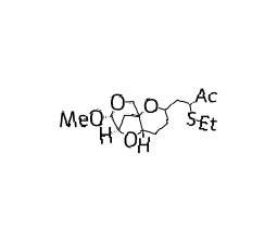 CCSC(CC1CC[C@@H]2O[C@@H]3CC2(CO[C@H]3OC)O1)C(C)=O